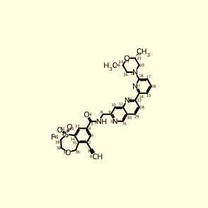 C#Cc1cc(C(=O)NCc2cc3nc(-c4cccc(N5C[C@@H](C)O[C@@H](C)C5)n4)ccc3cn2)cc2c1COC[C@H](F)S2(=O)=O